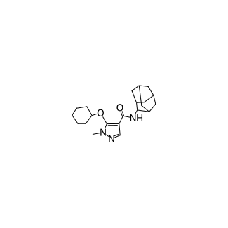 Cn1ncc(C(=O)NC2C3CC4CC(C3)CC2C4)c1OC1CCCCC1